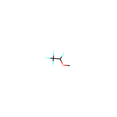 [CH2]OC(F)C(F)(F)F